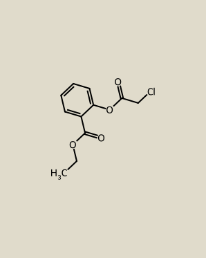 CCOC(=O)c1ccccc1OC(=O)CCl